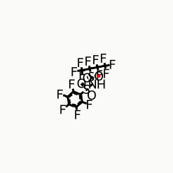 O=S(=O)(NS(=O)(=O)C(F)(C(F)(F)F)C(F)(F)C(F)(F)F)c1c(F)c(F)c(F)c(F)c1F